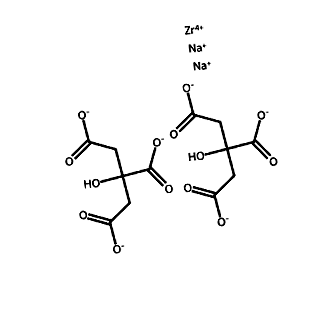 O=C([O-])CC(O)(CC(=O)[O-])C(=O)[O-].O=C([O-])CC(O)(CC(=O)[O-])C(=O)[O-].[Na+].[Na+].[Zr+4]